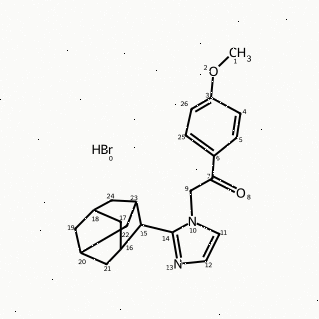 Br.COc1ccc(C(=O)Cn2ccnc2C2C3CC4CC(C3)CC2C4)cc1